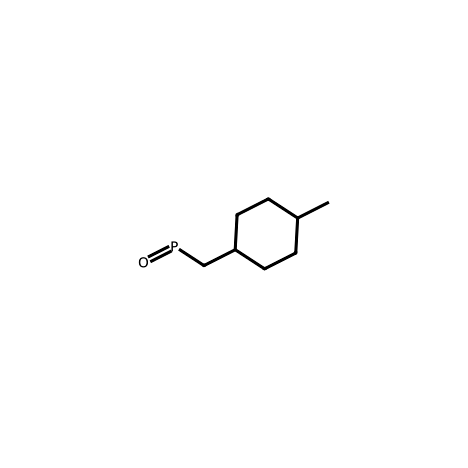 CC1CCC(CP=O)CC1